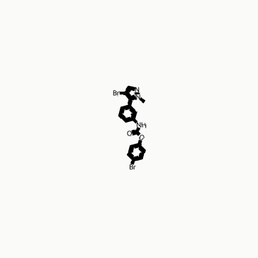 Cn1ncc(Br)c1-c1cccc(NC(=O)Oc2ccc(Br)cc2)c1